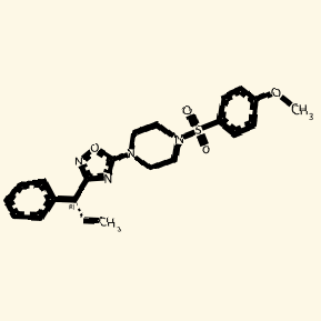 CC[C@H](c1ccccc1)c1noc(N2CCN(S(=O)(=O)c3ccc(OC)cc3)CC2)n1